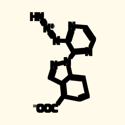 N=[N+]=Nc1nccnc1-n1ncc2c(C(=O)[O-])cccc21